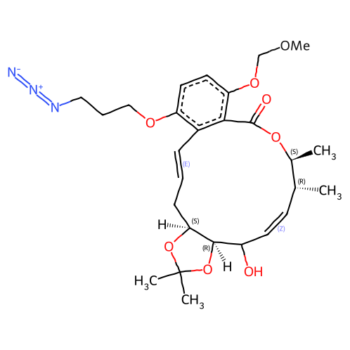 COCOc1ccc(OCCCN=[N+]=[N-])c2c1C(=O)O[C@@H](C)[C@H](C)/C=C\C(O)[C@H]1OC(C)(C)O[C@H]1C/C=C/2